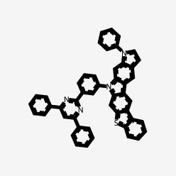 c1ccc(-c2cc(-c3ccccc3)nc(-c3cccc(-n4c5cc6sc7ccccc7c6cc5c5cc6ccn(-c7ccccc7)c6cc54)c3)n2)cc1